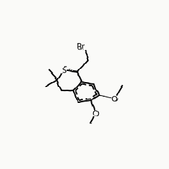 COc1cc2c(cc1OC)C(CBr)SC(C)(C)C2